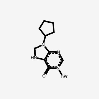 CCCn1cnc2c(c1=O)NCN2C1CCCC1